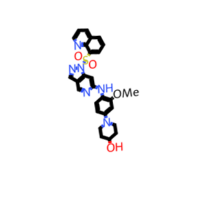 COc1cc(N2CCC(O)CC2)ccc1Nc1cc2c(cn1)cnn2S(=O)(=O)c1cccc2cccnc12